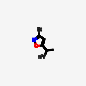 CCCC(C)c1cc(CC)no1